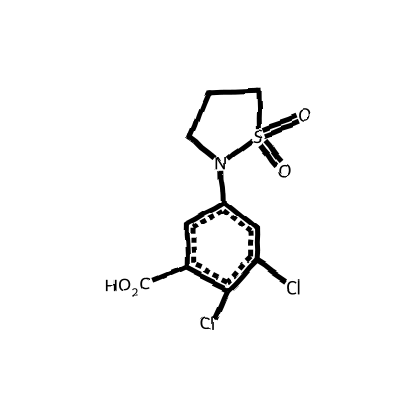 O=C(O)c1cc(N2CCCS2(=O)=O)cc(Cl)c1Cl